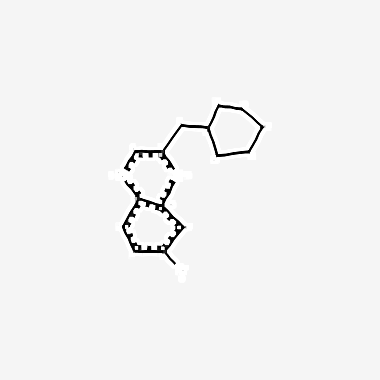 Brc1ccc2ncc(CC3CCCCC3)nc2c1